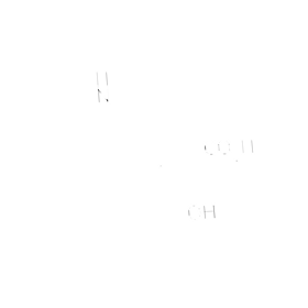 O=C(O)C1(O)CCCNC1